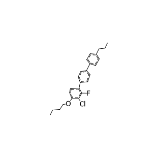 CCCCOc1ccc(-c2ccc(-c3ccc(CCC)cc3)cc2)c(F)c1Cl